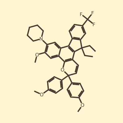 CCC1(CC)c2cc(C(F)(F)F)ccc2-c2c1c1c(c3cc(OC)c(N4CCCCC4)cc23)OC(c2ccc(OC)cc2)(c2ccc(OC)cc2)C=C1